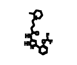 CC1CCCCN1CCCC(=O)Nc1cc(-c2ccccc2OC(F)F)n[nH]1